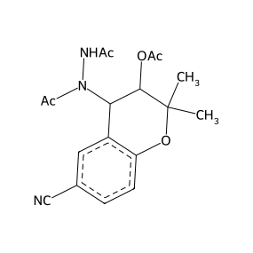 CC(=O)NN(C(C)=O)C1c2cc(C#N)ccc2OC(C)(C)C1OC(C)=O